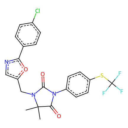 CC1(C)C(=O)N(c2ccc(SC(F)(F)F)cc2)C(=O)N1Cc1cnc(-c2ccc(Cl)cc2)o1